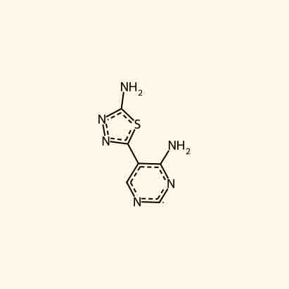 Nc1nnc(-c2cn[c]nc2N)s1